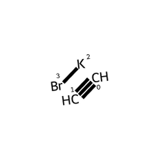 C#C.[K][Br]